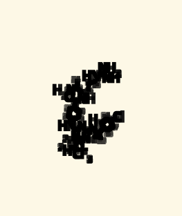 [2H]C([2H])(Oc1nc(Nc2ccc(C(=O)N[C@@H](CCCNC(=N)N)C(=C)N)cc2)nc(NC2(c3ccc(Cl)cc3)CC2)n1)C(F)(F)F